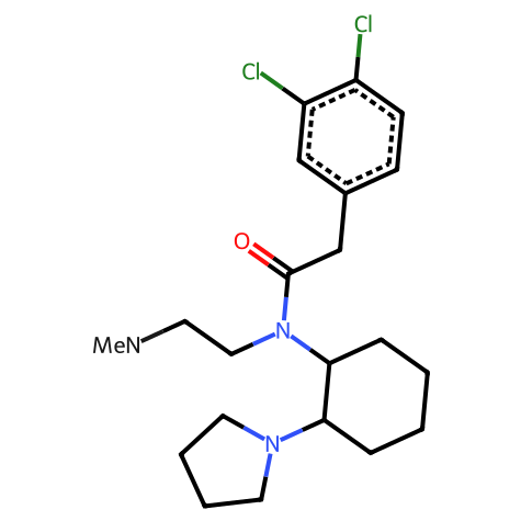 CNCCN(C(=O)Cc1ccc(Cl)c(Cl)c1)C1CCCCC1N1CCCC1